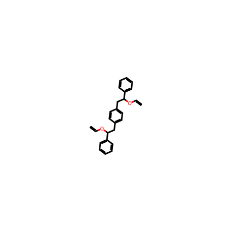 C=COC(Cc1ccc(CC(OC=C)c2ccccc2)cc1)c1ccccc1